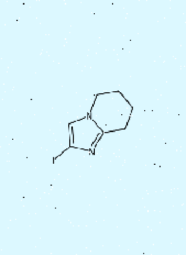 Ic1cn2c(n1)CCCC2